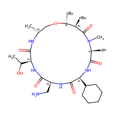 CCCC[C@H]1OC[C@@H](C)NC(=O)[C@H](C(C)O)NC(=O)[C@H](CN)NC(=O)[C@H](C2CCCCC2)NC(=O)[C@H](CCC)N(C)C(=O)[C@@H]1CCCC